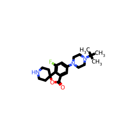 CC(C)(C)N1CCN(c2cc(F)c3c(c2)C(=O)OC32CCNCC2)CC1